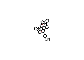 N#Cc1ccc(-c2ccc(-c3c(-c4ccccc4-n4c5ccccc5c5ccccc54)cccc3-n3c4ccccc4c4ccccc43)cc2)cc1